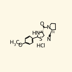 COc1ccc(C2N[C@H](C(=O)N3CCC[C@H]3C#N)CS2)cc1.Cl